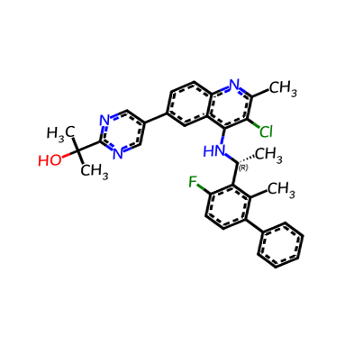 Cc1nc2ccc(-c3cnc(C(C)(C)O)nc3)cc2c(N[C@H](C)c2c(F)ccc(-c3ccccc3)c2C)c1Cl